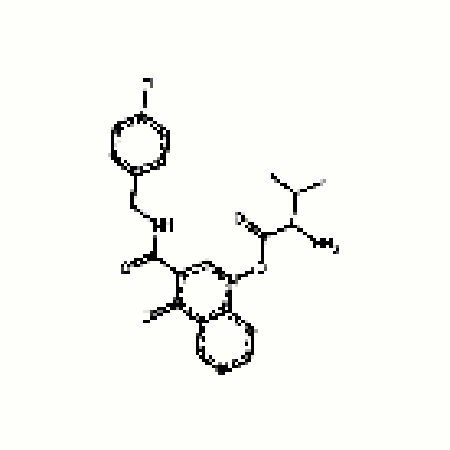 CC(C)C(N)C(=O)On1cc(C(=O)NCc2ccc(Cl)cc2)c(=O)c2ccccc21